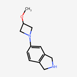 COC1CN(c2ccc3c(c2)CNC3)C1